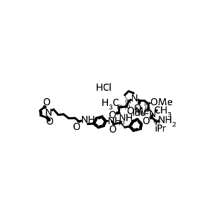 CC[C@H](C)[C@@H]([C@@H](CC(=O)N1CCC[C@H]1[C@H](OC)[C@@H](C)C(=O)N[C@@H](Cc1ccccc1)C(=O)Nc1ccc(CNC(=O)CCCCCN2C(=O)C=CC2=O)cc1)OC)N(C)C(=O)[C@@H](N)C(C)C.Cl